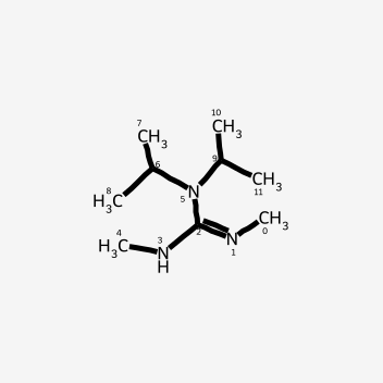 CN=C(NC)N(C(C)C)C(C)C